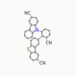 N#Cc1ccc2sc3ccc(-c4c(C#N)cccc4-n4c5ccccc5c5cc(C#N)ccc54)cc3c2c1